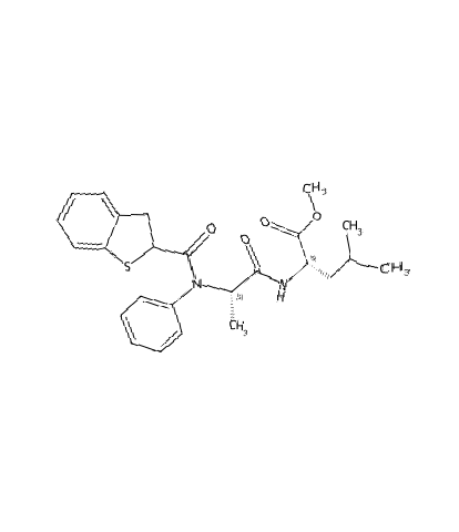 COC(=O)[C@H](CC(C)C)NC(=O)[C@H](C)N(C(=O)C1Cc2ccccc2S1)c1ccccc1